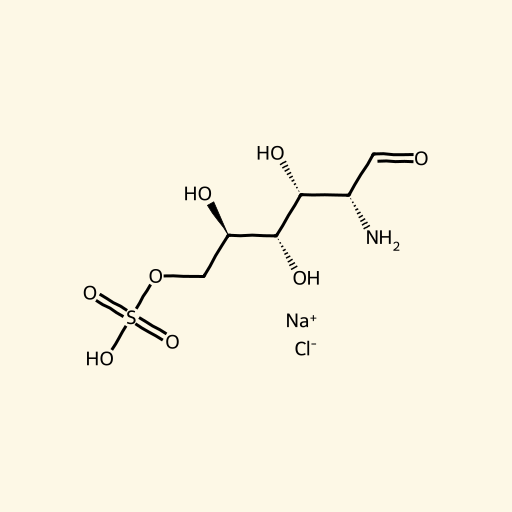 N[C@@H](C=O)[C@@H](O)[C@H](O)[C@H](O)COS(=O)(=O)O.[Cl-].[Na+]